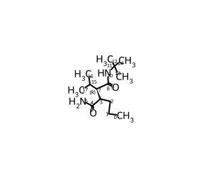 CCCC(C(N)=O)[C@H](C(=O)NC(C)(C)C)C(C)C